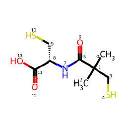 CC(C)(CS)C(=O)N[C@@H](CS)C(=O)O